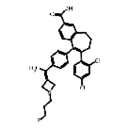 CC(=C1CN(CCCF)C1)c1ccc(C2=C(c3ccc(Cl)cc3Cl)CCCc3cc(C(=O)O)ccc32)cc1